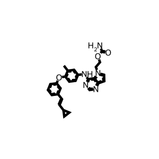 Cc1cc(Nc2ncnc3ccn(CCOC(N)=O)c23)ccc1Oc1cccc(C=CC2CC2)c1